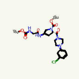 CC(C)(C)OC(=O)NCC(=O)NC1C[C@@H](C(=O)N2CCN(c3cccc(Cl)c3)CC2)N(C(=O)OC(C)(C)C)C1